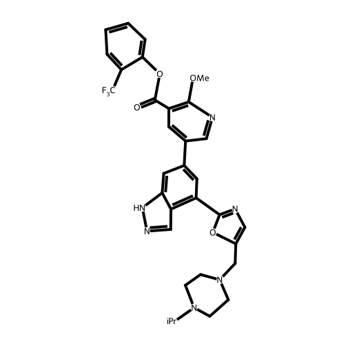 COc1ncc(-c2cc(-c3ncc(CN4CCN(C(C)C)CC4)o3)c3cn[nH]c3c2)cc1C(=O)Oc1ccccc1C(F)(F)F